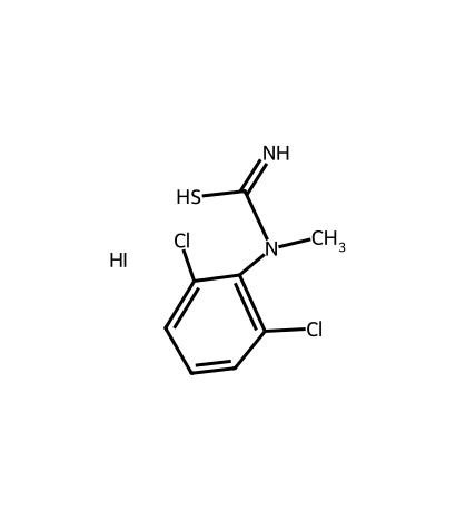 CN(C(=N)S)c1c(Cl)cccc1Cl.I